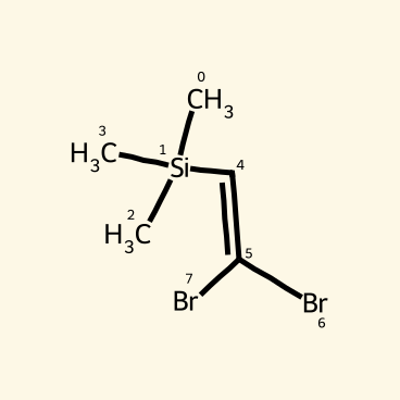 C[Si](C)(C)C=C(Br)Br